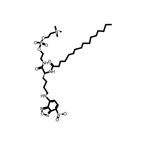 CCCCCCCCCCCCCCCC(=O)N[C@@H](CCCCNc1ccc([N+](=O)[O-])c2nonc12)C(=O)NCCOP(=O)([O-])OCC[N+](C)(C)C